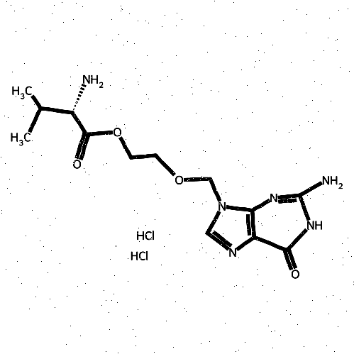 CC(C)[C@H](N)C(=O)OCCOCn1cnc2c(=O)[nH]c(N)nc21.Cl.Cl